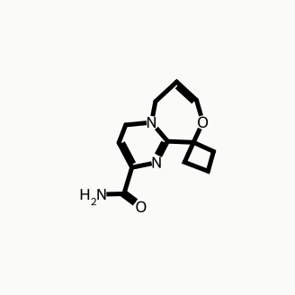 NC(=O)C1=CCN2CC=COC3(CCC3)C2=N1